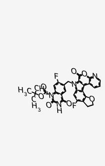 CC(C)(C)OC(=O)n1c(=O)[nH]c(=O)c2cc(Cn3c4cc(F)c5c(c4c4c6cccnc6oc(=O)c43)OCC5)c(F)cc21